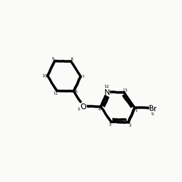 Brc1ccc(OC2CCCCC2)nc1